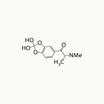 CNC(C)C(=O)c1ccc2c(c1)OC(O)(O)O2